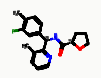 O=C(N[C@@H](c1ccc(C(F)(F)F)c(F)c1)c1ncccc1C(F)(F)F)[C@@H]1CCCO1